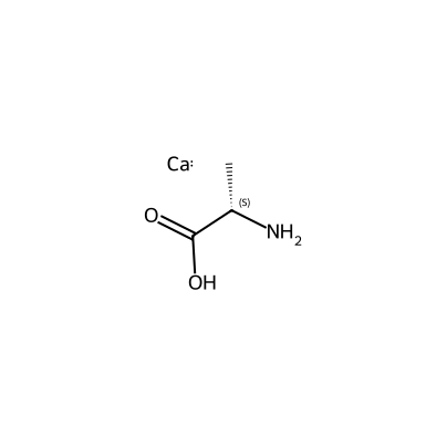 C[C@H](N)C(=O)O.[Ca]